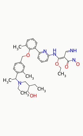 CCO/C(Nc1cccc(-c2cccc(C)c2OCc2ccc(C(C)N(CC)CC(CC)CO)c(C)c2)n1)=C(/C=N)C(=O)N=O